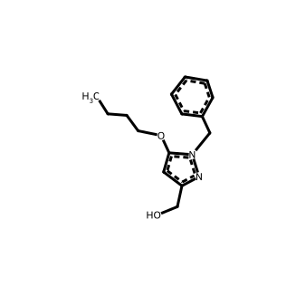 CCCCOc1cc(CO)nn1Cc1ccccc1